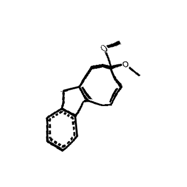 COC1(OC)C=CC2=C([CH]c3ccccc32)C1